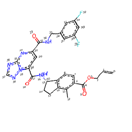 C=CCOC(=O)c1ccc2c(c1C)CC[C@@H]2NC(=O)c1cc(C(=O)NCc2cc(F)cc(F)c2)nc2ncnn12